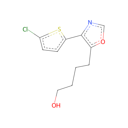 OCCCCc1ocnc1-c1ccc(Cl)s1